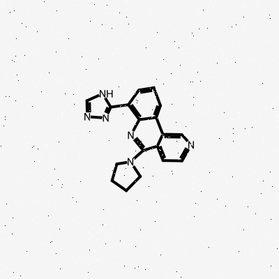 c1cc(-c2nnc[nH]2)c2nc(N3CCCC3)c3ccncc3c2c1